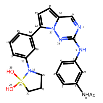 CC(=O)Nc1cccc(Nc2ncc3ccc(-c4cccc(N5CCCS5(O)O)c4)n3n2)c1